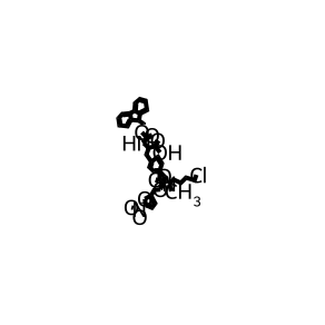 CN(CCCCCl)P(=O)(OCc1ccc([N+](=O)[O-])o1)Oc1ccc(CC(NC(=O)OCC2c3ccccc3-c3ccccc32)C(=O)O)cc1